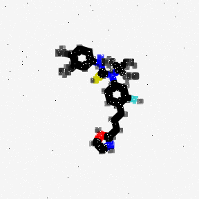 CC(C)(C=O)N(C(=S)Nc1ccc(C#N)c(C(F)(F)F)c1)c1ccc(CCCc2ncco2)c(F)c1